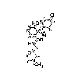 CN1CCOC(CNc2nnc(-c3ccc(Cl)cc3O)c3ccncc23)C1